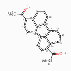 COC(=O)c1ccc2c3ccc(C(=O)OC)c4cccc(c5cccc1c52)c43